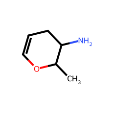 CC1OC=CCC1N